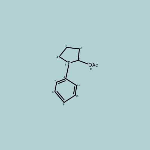 CC(=O)OC1CCCP1c1ccccc1